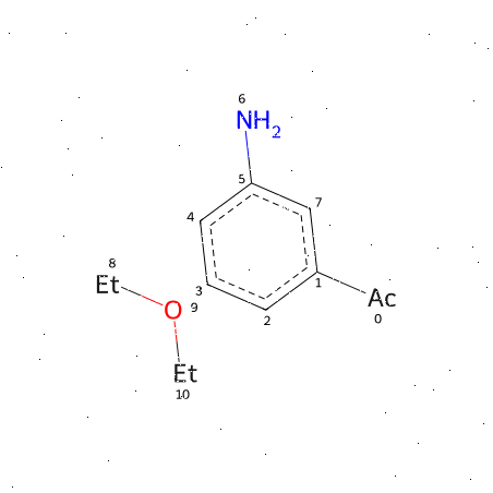 CC(=O)c1cccc(N)c1.CCOCC